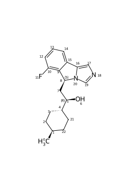 C[C@H]1CC[C@H]([C@H](O)C[C@H]2c3c(F)cccc3-c3cncn32)CC1